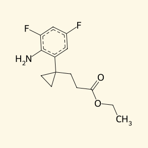 CCOC(=O)CCC1(c2cc(F)cc(F)c2N)CC1